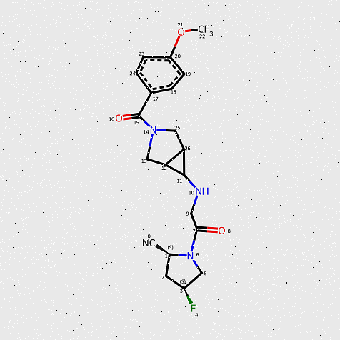 N#C[C@@H]1C[C@H](F)CN1C(=O)CNC1C2CN(C(=O)c3ccc(OC(F)(F)F)cc3)CC21